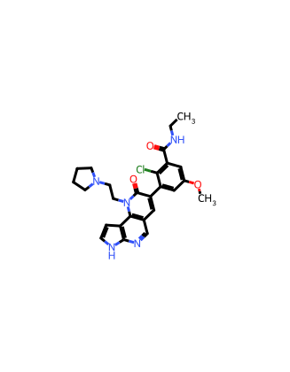 CCNC(=O)c1cc(OC)cc(-c2cc3cnc4[nH]ccc4c3n(CCN3CCCC3)c2=O)c1Cl